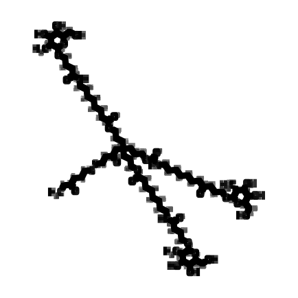 CCC(=O)CCCSSCCC(=O)CC(CCCOC(=O)CCCCCCCNC(=O)CCCOC1OC(CO)C(O)C(O)C1C)(CCCOC(=O)CCCCCCCNC(=O)CCCOC1OC(CO)C(O)C(O)C1C)CCCOC(=O)NCCCCCCCC(=O)CCCOC1OC(CO)C(O)C(O)C1C